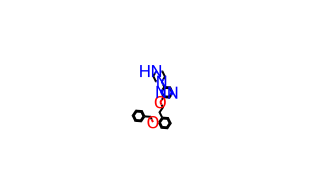 c1ccc(COc2ccccc2CCOc2cncc(N3CCNCC3)n2)cc1